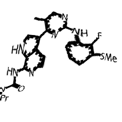 CSc1cccc(Nc2ncc(C)c(-c3c[nH]c4c(NC(=O)NC(C)C)nccc34)n2)c1F